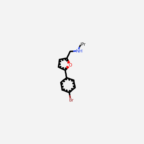 CC(C)NCc1ccc(-c2ccc(Br)cc2)o1